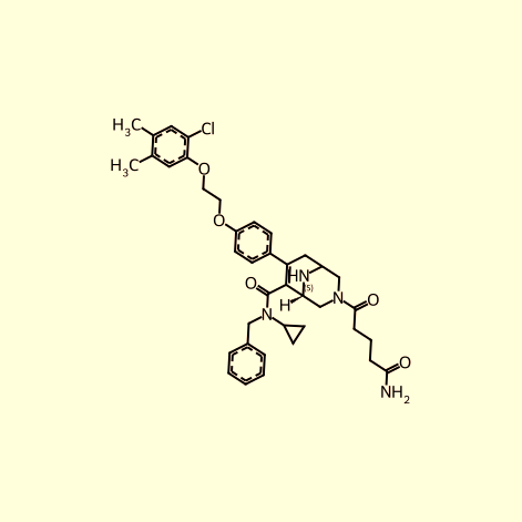 Cc1cc(Cl)c(OCCOc2ccc(C3=C(C(=O)N(Cc4ccccc4)C4CC4)[C@H]4CN(C(=O)CCCC(N)=O)CC(C3)N4)cc2)cc1C